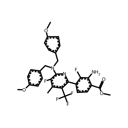 COC(=O)c1ccc(-c2nc(N(Cc3ccc(OC)cc3)Cc3ccc(OC)cc3)c(F)c(C)c2C(F)(F)F)c(F)c1N